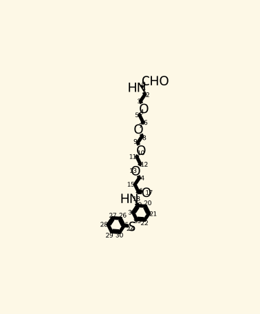 O=CNCCOCCOCCOCCOCCC(=O)Nc1cccc(Sc2ccccc2)c1